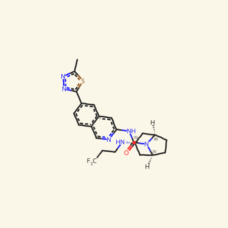 Cc1nnc(-c2ccc3cnc(NC(=O)N4[C@@H]5CC[C@H]4C[C@H](NCCC(F)(F)F)C5)cc3c2)s1